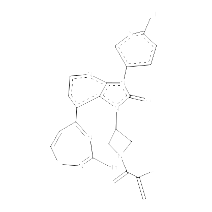 C=C(F)C(=O)N1CC(n2c(=O)n(-c3ccc(C(F)(F)F)nc3)c3nccc(C4=NC(C(C)C)=NOC=C4)c32)C1